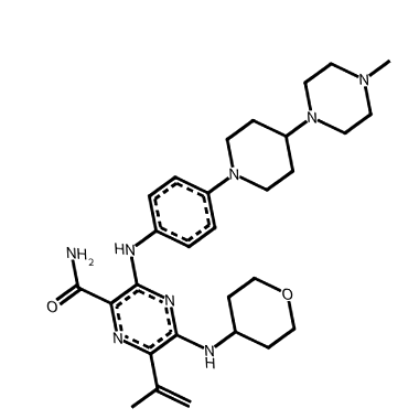 C=C(C)c1nc(C(N)=O)c(Nc2ccc(N3CCC(N4CCN(C)CC4)CC3)cc2)nc1NC1CCOCC1